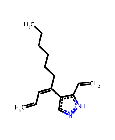 C=C/C=C(/CCCCCC)c1cn[nH]c1C=C